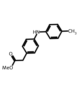 COC(=O)Cc1ccc(Nc2ccc(C)cc2)cc1